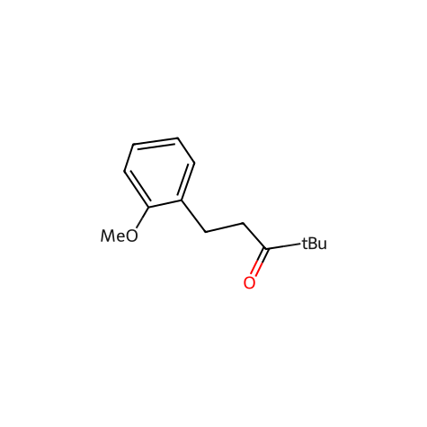 COc1ccccc1CCC(=O)C(C)(C)C